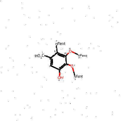 CCCCCOc1c(O)cc(C(=O)O)c(CCCCC)c1OCCCCC